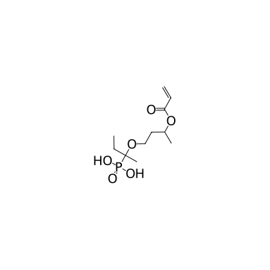 C=CC(=O)OC(C)CCOC(C)(CC)P(=O)(O)O